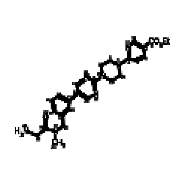 CCOC(=O)c1ccc(N2CCN(c3ncc(-c4cccc(CN(C)C(=O)CN)c4)cn3)CC2)nc1